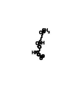 COC(=O)CCCCCCNC(=O)c1ccc(Cc2c[nH]c3ccc([N+](=O)[O-])cc23)cc1